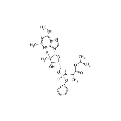 CNc1nc(C)nc2c1ncn2[C@@H]1O[C@H](CO[P@](=O)(N[C@@H](C)C(=O)OC(C)C)Oc2ccccc2)[C@@H](O)[C@@]1(C)F